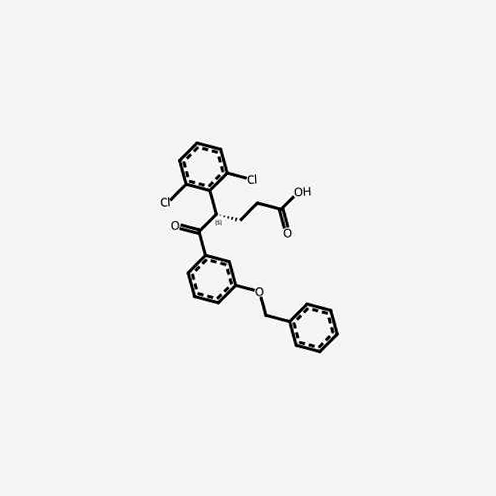 O=C(O)CC[C@H](C(=O)c1cccc(OCc2ccccc2)c1)c1c(Cl)cccc1Cl